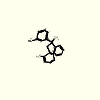 CC(Cc1ccccc1O)(c1ccccc1)c1cccc(O)c1